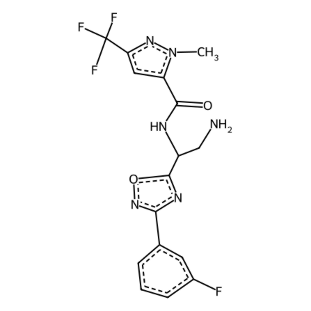 Cn1nc(C(F)(F)F)cc1C(=O)NC(CN)c1nc(-c2cccc(F)c2)no1